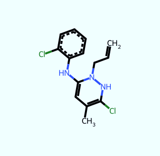 C=CCN1NC(Cl)=C(C)C=C1Nc1ccccc1Cl